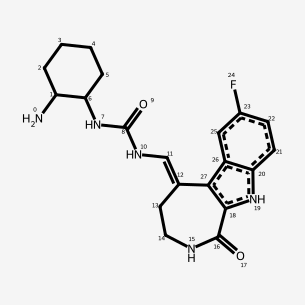 NC1CCCCC1NC(=O)N/C=C1\CCNC(=O)c2[nH]c3ccc(F)cc3c21